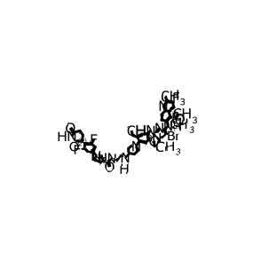 CCOc1cc(N2CCC(NCCNC(=O)[C@@H]3CCN(c4cc(F)c([C@H]5CCC(=O)NC5=O)c(F)c4)C3)CC2)c(CC)cc1Nc1ncc(Br)c(Nc2ccc3nc(C)c(F)cc3c2P(C)(C)=O)n1